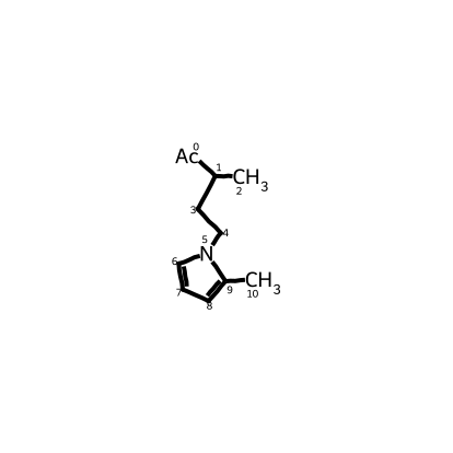 CC(=O)C(C)CCn1cccc1C